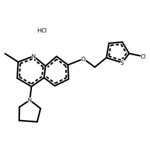 Cc1cc(N2CCCC2)c2ccc(OCc3ccc(Cl)s3)cc2n1.Cl